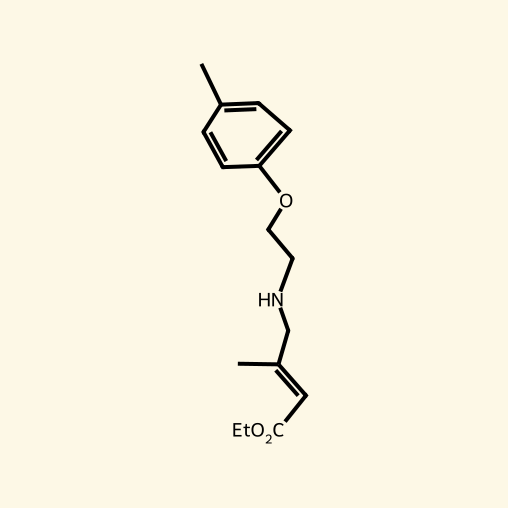 CCOC(=O)/C=C(\C)CNCCOc1ccc(C)cc1